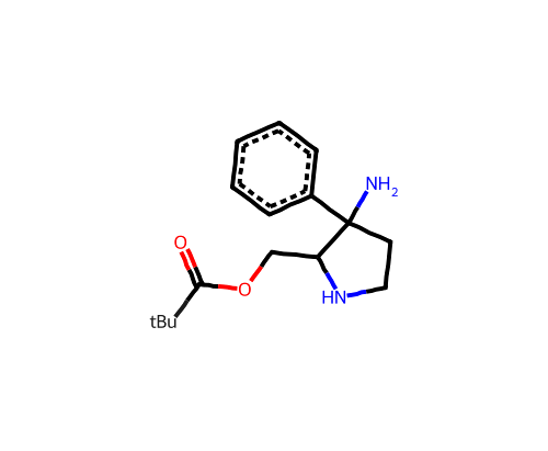 CC(C)(C)C(=O)OCC1NCCC1(N)c1ccccc1